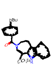 CCCCc1ccc(C(=O)N2C=C(C(=O)OCC)c3[nH]c4ccccc4c3CC2)cc1